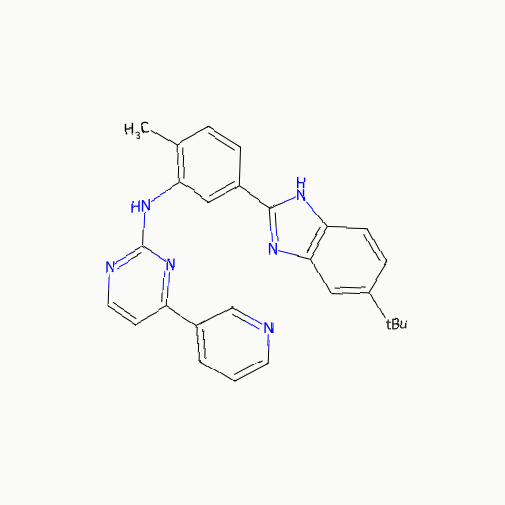 Cc1ccc(-c2nc3cc(C(C)(C)C)ccc3[nH]2)cc1Nc1nccc(-c2cccnc2)n1